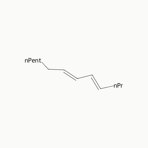 [CH2]CCCCC/C=C/C=C/CCC